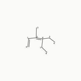 C=CC(C)=C(CC)CC